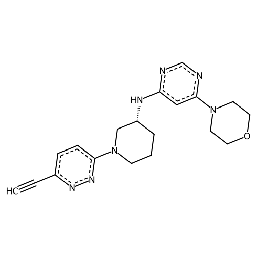 C#Cc1ccc(N2CCC[C@@H](Nc3cc(N4CCOCC4)ncn3)C2)nn1